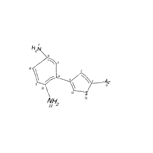 CC(=O)c1cc(-c2cc(N)ccc2N)cs1